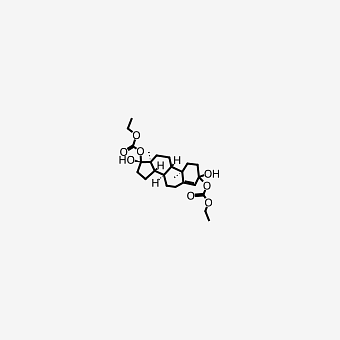 CCOC(=O)OC1(O)C=C2CC[C@@H]3[C@H](CC[C@@]4(C)[C@H]3CC[C@]4(O)OC(=O)OCC)[C@@]2(C)CC1